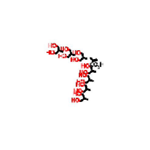 C=C(C)C(=O)O.CC(CO)CO.CC(CO)CO.CC(CO)CO.CC(CO)CO.CC(CO)CO.CC(CO)CO.CC(CO)CO